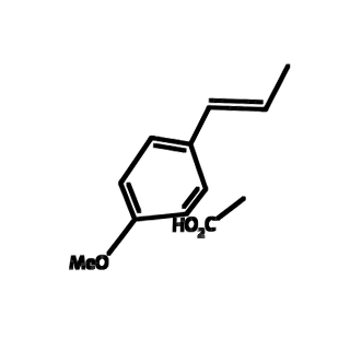 C/C=C/c1ccc(OC)cc1.CC(=O)O